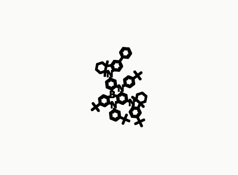 CC(C)(C)c1ccc(N2c3cc(N4c5ccc(-c6ccccc6)cc5C5(C)CCCCC45C)ccc3B3c4ccc(C(C)(C)C)cc4N(c4cccc(C(C)(C)C)c4)c4cc(N5c6ccc(C(C)(C)C)cc6C6(C)CCCCC56C)cc2c43)cc1